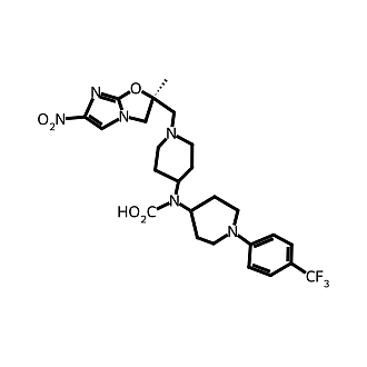 C[C@]1(CN2CCC(N(C(=O)O)C3CCN(c4ccc(C(F)(F)F)cc4)CC3)CC2)Cn2cc([N+](=O)[O-])nc2O1